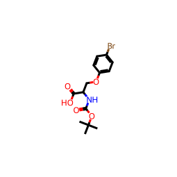 CC(C)(C)OC(=O)NC(COc1ccc(Br)cc1)C(=O)O